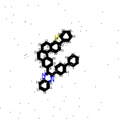 c1ccc(-c2ccc(-c3nc4ccccc4nc3-c3ccc4c(ccc5ccc6c(ccc7c8ccccc8sc76)c54)c3)cc2)cc1